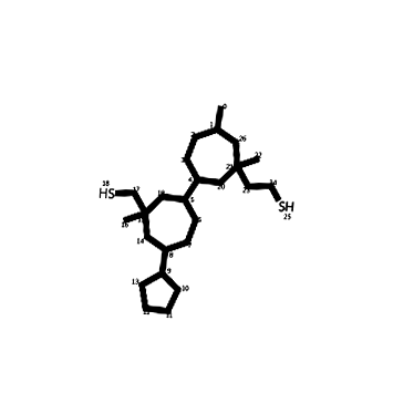 CC1CCC(C2CCC(C3CCCC3)CC(C)(CS)C2)CC(C)(CCS)C1